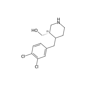 OC[C@@H]1CNCCC1Cc1ccc(Cl)c(Cl)c1